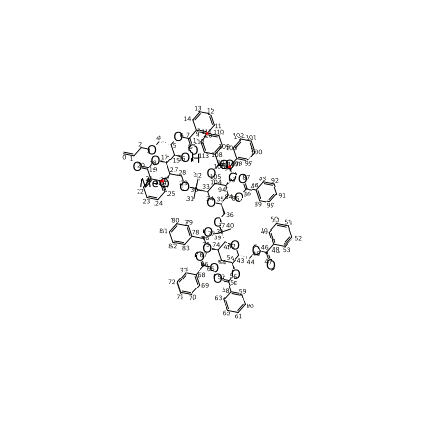 C=CCOC[C@H](OC(=O)c1ccccc1)[C@@H](O)[C@H](OC(=O)c1ccccc1)[C@@H](COC(C)(C)[C@@H]1O[C@H](COC(C)(C)[C@@H]2O[C@H](COC(=O)c3ccccc3)[C@@H](OC(=O)c3ccccc3)[C@H](OC(=O)c3ccccc3)[C@H]2OC(=O)c2ccccc2)[C@@H](OC(=O)c2ccccc2)[C@H](OC(=O)c2ccccc2)[C@H]1OC(=O)c1ccccc1)OC